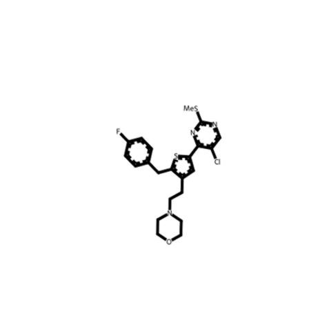 CSc1ncc(Cl)c(-c2cc(CCN3CCOCC3)c(Cc3ccc(F)cc3)s2)n1